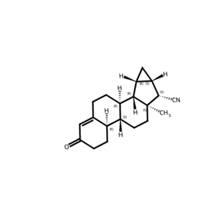 C[C@]12CC[C@H]3[C@@H](CCC4=CC(=O)CC[C@@H]43)[C@@H]1[C@@H]1C[C@@H]1[C@@H]2C#N